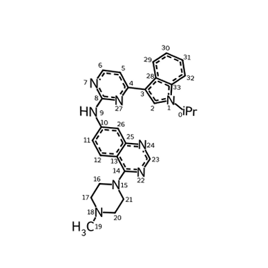 CC(C)n1cc(-c2ccnc(Nc3ccc4c(N5CCN(C)CC5)ncnc4c3)n2)c2ccccc21